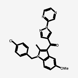 COc1ccc2c(c1)c(C(=O)c1cnn(-c3cnccn3)c1)c(C)n2Cc1ccc(Cl)cc1